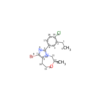 CCc1cc(-c2nc(Br)c3n2C[C@@H](C)OCC3)ccc1Cl